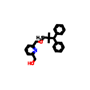 CC(C)([SiH2]OCc1cccc(CO)n1)C(c1ccccc1)c1ccccc1